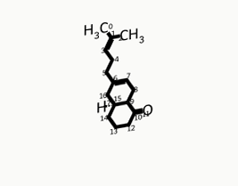 CC(C)=CCCC1=CCC2C(=O)CCC[C@H]2C1